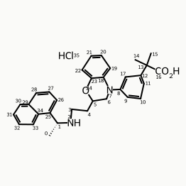 C[C@@H](NCCC1CN(c2cccc(C(C)(C)C(=O)O)c2)c2ccccc2O1)c1cccc2ccccc12.Cl